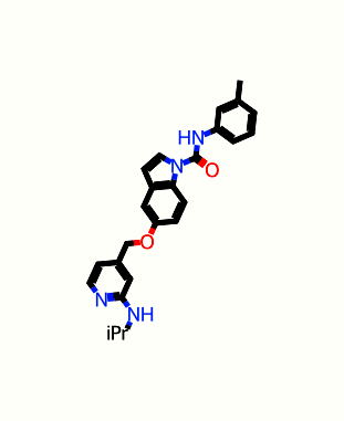 Cc1cccc(NC(=O)n2ccc3cc(OCc4ccnc(NC(C)C)c4)ccc32)c1